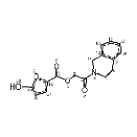 O=C(OCC(=O)N1CCc2ccccc2C1)c1ccc(O)o1